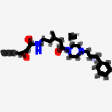 CC(CCNC(=O)C1OC1C(=O)[O-])CC(=O)N1CCN(C/C=C/c2ccccc2)CC1.[Na+]